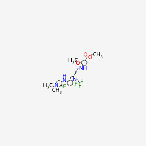 CCOC(=O)c1ccc(NCC#Cc2cc3c(NC4CCN(C(C)C)C[C@H]4F)cccc3n2CC(F)(F)F)c(OC)c1